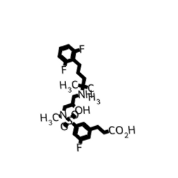 CN(CC(O)CNC(C)(C)CCCc1c(F)cccc1F)S(=O)(=O)c1cc(F)cc(CCC(=O)O)c1